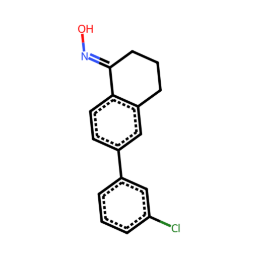 O/N=C1\CCCc2cc(-c3cccc(Cl)c3)ccc21